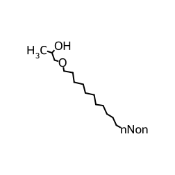 CCCCCCCCCCCCCCCCCCCCOCC(C)O